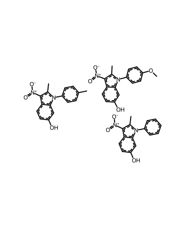 COc1ccc(-n2c(C)c([N+](=O)[O-])c3ccc(O)cc32)cc1.Cc1c([N+](=O)[O-])c2ccc(O)cc2n1-c1ccccc1.Cc1ccc(-n2c(C)c([N+](=O)[O-])c3ccc(O)cc32)cc1